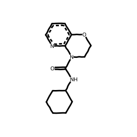 O=C(NC1CCCCC1)N1CCOc2cccnc21